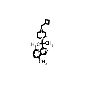 Cc1cccn2c(C(C)(C)N3CCN(CC4CCC4)CC3)ncc12